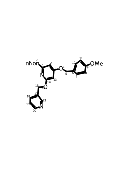 CCCCCCCCCc1cc(OCc2ccc(OC)cc2)cc(OCc2cccnc2)n1